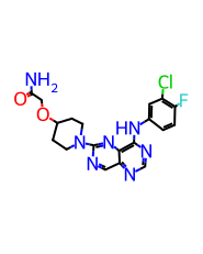 NC(=O)COC1CCN(c2ncc3ncnc(Nc4ccc(F)c(Cl)c4)c3n2)CC1